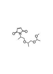 COC(C)OCC(C)OCC(C)N1C(=O)C=CC1=O